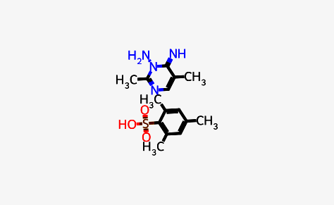 Cc1cc(C)c(S(=O)(=O)O)c(C)c1.Cc1cnc(C)n(N)c1=N